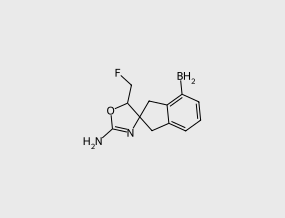 Bc1cccc2c1CC1(C2)N=C(N)OC1CF